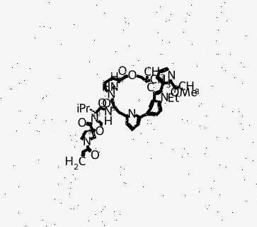 C=CC(=O)N1CC[C@]2(C1)OCN([C@H](C(=O)N[C@H]1Cc3cccc(n3)-c3ccc4c(c3)c(c(-c3cccnc3[C@H](C)OC)n4CC)CC(C)(C)COC(=O)[C@@H]3CCCN(N3)C1=O)C(C)C)C2=O